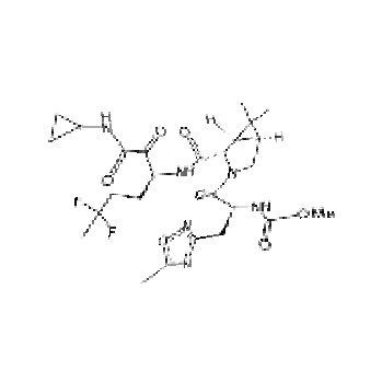 COC(=O)N[C@@H](Cc1noc(C)n1)C(=O)N1C[C@H]2[C@@H]([C@H]1C(=O)N[C@@H](CCC(C)(F)F)C(=O)C(=O)NC1CC1)C2(C)C